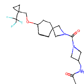 CC(=O)NC1CN(C(=O)N2CC3(CCC(OCC4(C(F)(F)F)CC4)CC3)C2)C1